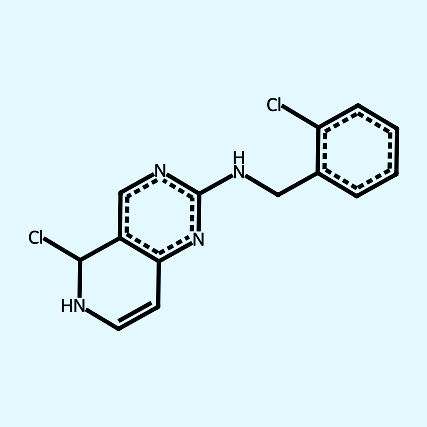 Clc1ccccc1CNc1ncc2c(n1)C=CNC2Cl